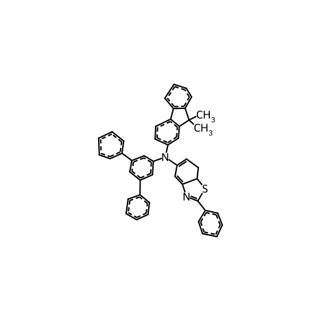 CC1(C)c2ccccc2-c2ccc(N(C3=CCC4SC(c5ccccc5)=NC4=C3)c3cc(-c4ccccc4)cc(-c4ccccc4)c3)cc21